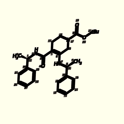 C[C@H](NC(=O)C1=C(N[C@@H](C)c2ccccc2)CN(C(=O)OC(C)(C)C)CC1)c1ccccc1